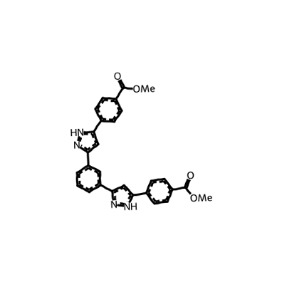 COC(=O)c1ccc(-c2cc(-c3cccc(-c4cc(-c5ccc(C(=O)OC)cc5)[nH]n4)c3)n[nH]2)cc1